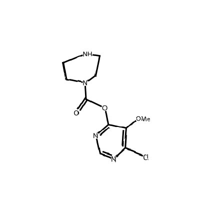 COc1c(Cl)ncnc1OC(=O)N1CCNCC1